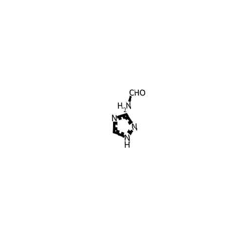 NC=O.c1nc[nH]n1